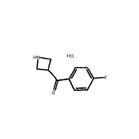 Cl.O=C(c1ccc(F)cc1)C1CNC1